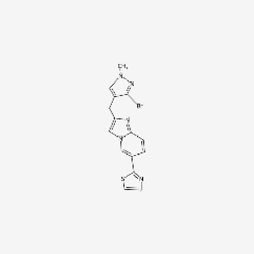 Cn1cc(Cc2cn3cc(-c4nccs4)ccc3n2)c(Br)n1